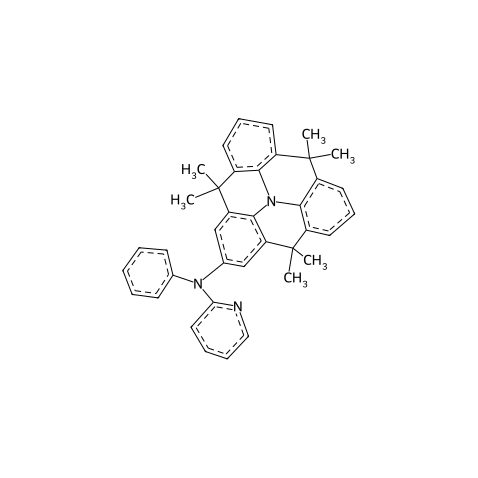 CC1(C)c2cccc3c2N2c4c1cccc4C(C)(C)c1cc(N(c4ccccc4)c4ccccn4)cc(c12)C3(C)C